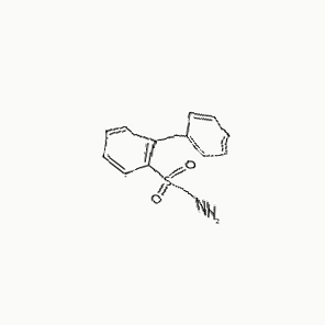 NS(=O)(=O)c1[c]cccc1-c1ccccc1